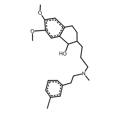 COc1cc2c(cc1OC)C(O)C(CCCN(C)CCc1cccc(C)c1)CC2